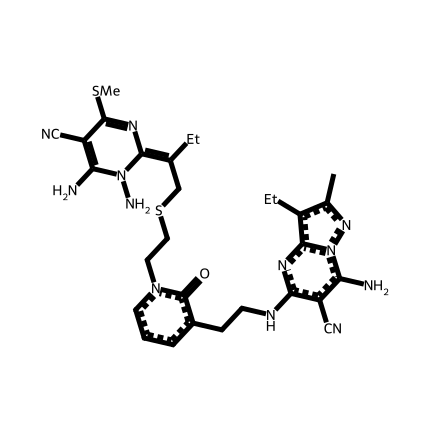 CC/C(CSCCn1cccc(CCNc2nc3c(CC)c(C)nn3c(N)c2C#N)c1=O)=C1\N=C(SC)C(C#N)=C(N)N1N